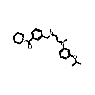 CC(C)Oc1cccc(N(C)CCN(C)Cc2cccc(C(=O)N3CCCCC3)c2)c1